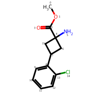 COC(=O)C1(N)CC(c2ccccc2Cl)C1